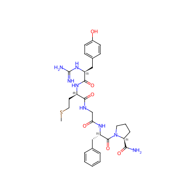 CSCC[C@@H](NC(=O)[C@H](Cc1ccc(O)cc1)NC(=N)N)C(=O)NCC(=O)N[C@@H](Cc1ccccc1)C(=O)N1CCC[C@H]1C(N)=O